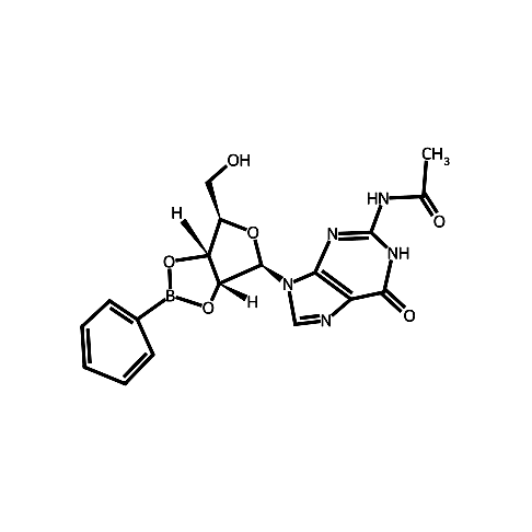 CC(=O)Nc1nc2c(ncn2[C@@H]2O[C@H](CO)[C@H]3OB(c4ccccc4)O[C@H]32)c(=O)[nH]1